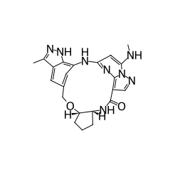 CNc1cc2nc3c(cnn13)C(=O)N[C@@H]1CCC[C@@H]1OCc1cc(c3[nH]nc(C)c3c1)N2